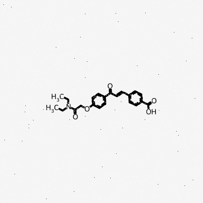 CCN(CC)C(=O)COc1ccc(C(=O)/C=C/c2ccc(C(=O)O)cc2)cc1